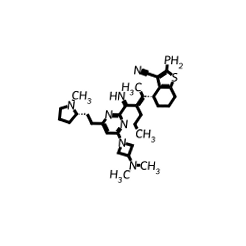 CCC/C(C(=N)c1nc(CC[C@@H]2CCCN2C)cc(N2CC(N(C)C)C2)n1)=C(/C)[C@H]1CCCc2sc(P)c(C#N)c21